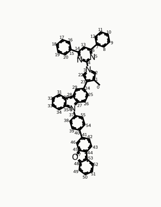 Cc1cn(-c2nc(-c3ccccc3)cc(-c3ccccc3)n2)cc1-c1ccc2c(c1)c1ccccc1n2-c1ccc(-c2ccc3c(c2)oc2ccccc23)cc1